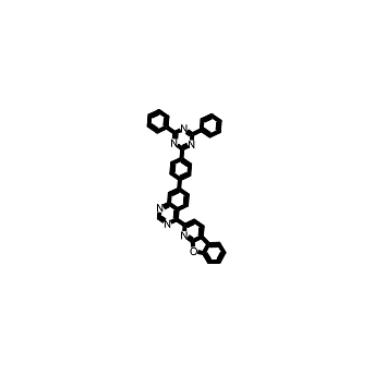 c1ccc(-c2nc(-c3ccccc3)nc(-c3ccc(-c4ccc5c(-c6ccc7c(n6)oc6ccccc67)ncnc5c4)cc3)n2)cc1